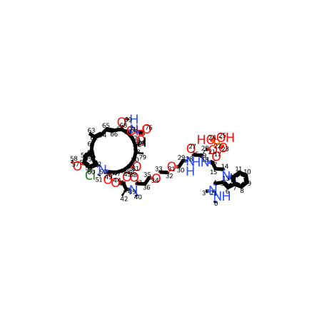 CNN(C)Cc1cc2ccccc2n1CCC(=O)N[C@@H](COP(=O)(O)O)C(=O)NCCOCCOCCC(=O)N(C)[C@@H](C)C(=O)O[C@H]1CC(=O)N(C)c2cc(cc(OC)c2Cl)C/C(C)=C/C=C/[C@@H](OC)[C@@]2(O)C[C@H](OC(=O)N2)[C@@H](C)C2O[C@]21C